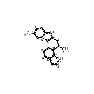 CC(C)c1ccc2nc(CC(C)c3cccc4cn[nH]c34)cn2c1